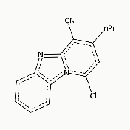 CCCc1cc(Cl)n2c(nc3ccccc32)c1C#N